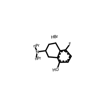 Br.CCCN(CCC)C1CCc2c(F)ccc(O)c2C1